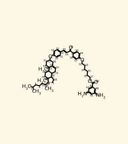 CC(C)CCC[C@@H](C)[C@H]1CCC2C3CC=C4CC(Oc5ccc(C=CC(=O)c6ccc(OCCCCCCOC(=O)c7cc(N)cc(N)c7)cc6)cc5)CC[C@]4(C)C3CC[C@@]21C